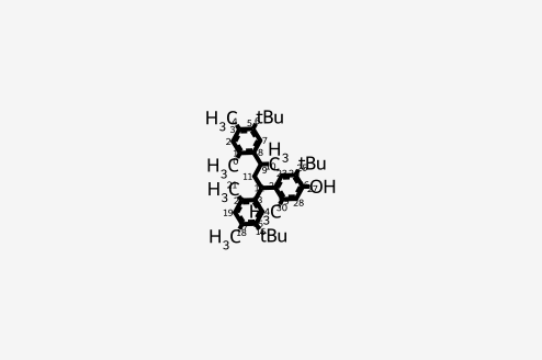 Cc1cc(C)c(C(C)(C)C)cc1C(C)CC(c1cc(C(C)(C)C)c(C)cc1C)c1cc(C(C)(C)C)c(O)cc1C